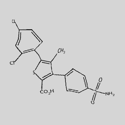 Cc1c(-c2ccc(Cl)cc2Cl)sc(C(=O)O)c1-c1ccc(S(N)(=O)=O)cc1